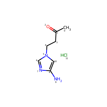 CC(=O)CCn1cnc(N)c1.Cl